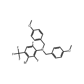 COc1ccc(CN(Cc2ccc(OC)cc2)c2c(F)cc(C(F)(F)F)c(Br)c2F)cc1